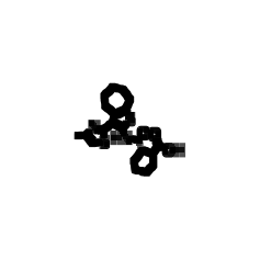 Cc1csc(-c2c(NC(=O)[C@H]3CCCCC3C(=O)O)sc3c2CCCCC3)n1